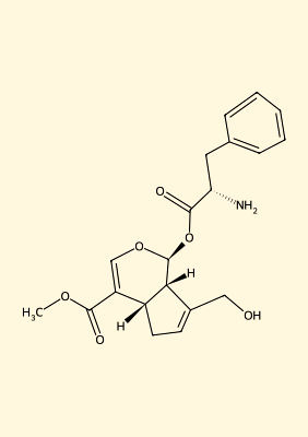 COC(=O)C1=CO[C@@H](OC(=O)[C@@H](N)Cc2ccccc2)[C@@H]2C(CO)=CC[C@H]12